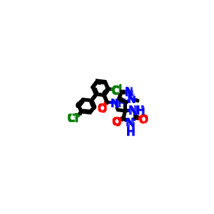 Cn1nccc1C1(CNC(=O)c2c(Cl)cccc2-c2ccc(Cl)cc2)NC(=O)NC1=O